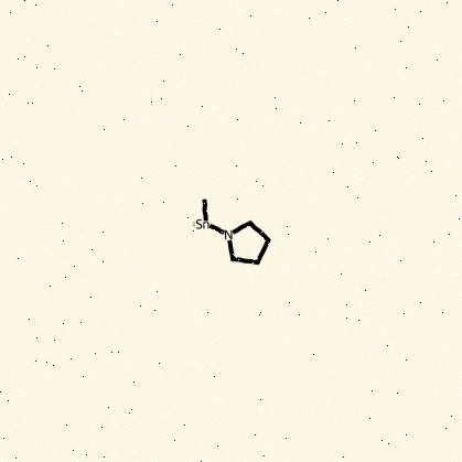 [CH3][Sn][N]1CCCC1